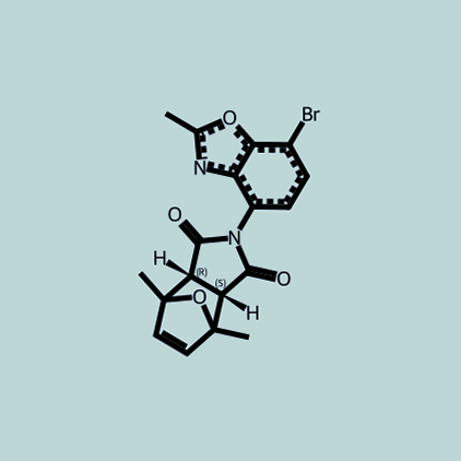 Cc1nc2c(N3C(=O)[C@@H]4[C@H](C3=O)C3(C)C=CC4(C)O3)ccc(Br)c2o1